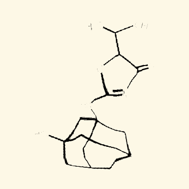 CC(C)C1OC(NC23CC4CC(CC(O)(C4)C2)C3)=NC1=O